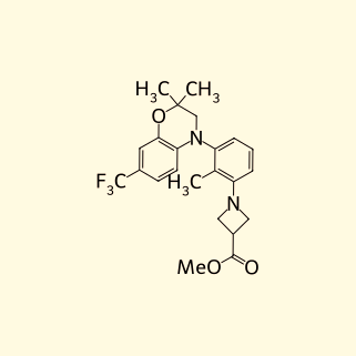 COC(=O)C1CN(c2cccc(N3CC(C)(C)Oc4cc(C(F)(F)F)ccc43)c2C)C1